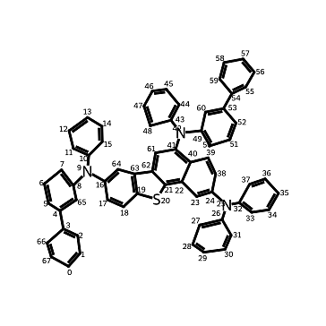 c1ccc(-c2cccc(N(c3ccccc3)c3ccc4sc5c6cc(N(c7ccccc7)c7ccccc7)ccc6c(N(c6ccccc6)c6cccc(-c7ccccc7)c6)cc5c4c3)c2)cc1